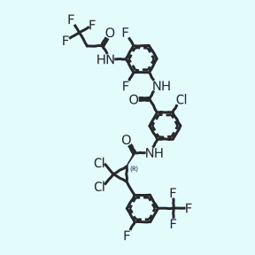 O=C(CC(F)(F)F)Nc1c(F)ccc(NC(=O)c2cc(NC(=O)[C@H]3C(c4cc(F)cc(C(F)(F)F)c4)C3(Cl)Cl)ccc2Cl)c1F